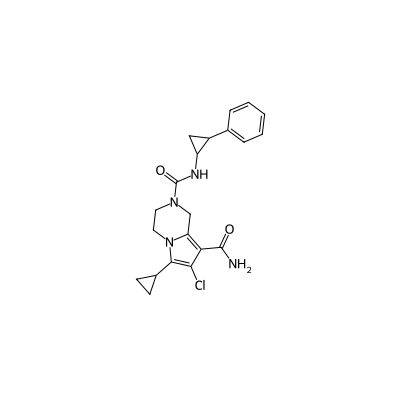 NC(=O)c1c(Cl)c(C2CC2)n2c1CN(C(=O)NC1CC1c1ccccc1)CC2